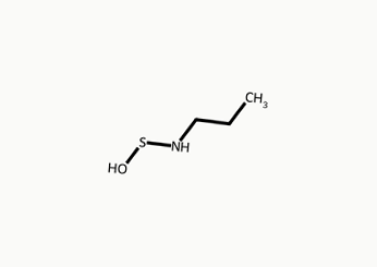 CCCNSO